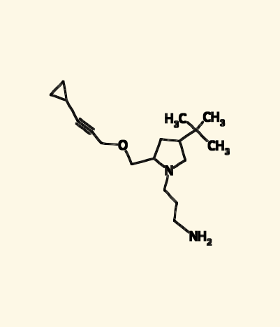 CC(C)(C)C1CC(COCC#CC2CC2)N(CCCN)C1